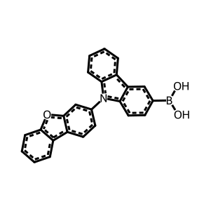 OB(O)c1ccc2c(c1)c1ccccc1n2-c1ccc2c(c1)oc1ccccc12